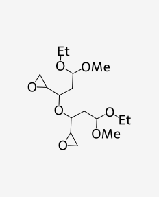 CCOC(CC(OC(CC(OC)OCC)C1CO1)C1CO1)OC